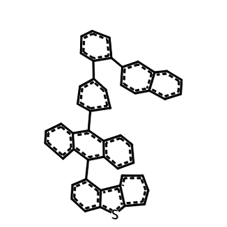 c1ccc(-c2ccc3ccccc3c2)c(-c2ccc(-c3c4ccccc4c(-c4cccc5sc6ccccc6c45)c4ccccc34)cc2)c1